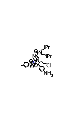 Cc1ccc(S(=O)(=O)/N=c2\cnc(C(=O)N(CCC(C)C)CCC(C)C)cn2C(CCCCl)C(=O)c2ccc(N)cc2)cc1